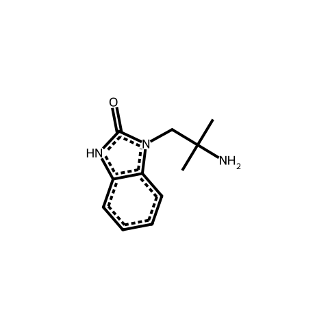 CC(C)(N)Cn1c(=O)[nH]c2ccccc21